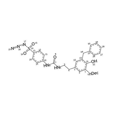 CCCCCCCCCCc1cc(CCNC(=O)Nc2ccc(S(=O)(=O)N=[N+]=[N-])cc2)cc(Cc2ccccc2)c1O